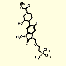 Cn1c(=O)n(COCC[Si](C)(C)C)c2cc(F)c(C3CCN(C(=O)OC(C)(C)C)CC3O)cc21